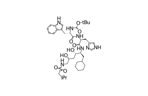 CC(C)CS(=O)(=O)NC[C@@H](O)C[C@H](O)[C@H](CC1CCCCC1)NC(=O)[C@H](Cc1c[nH]cn1)NC(=O)[C@H](Cc1c[nH]c2ccccc12)NC(=O)OC(C)(C)C